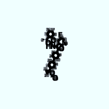 C[C@@H](OC(=O)NC1=C(c2ccc(-c3ccc(C4(OC=O)CC4)cc3)cc2)OC2N=CC(F)=CC12)c1ccccc1